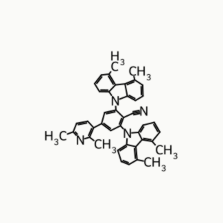 Cc1ccc(-c2cc(-n3c4cccc(C)c4c4c(C)cccc43)c(C#N)c(-n3c4cccc(C)c4c4c(C)cccc43)c2)c(C)n1